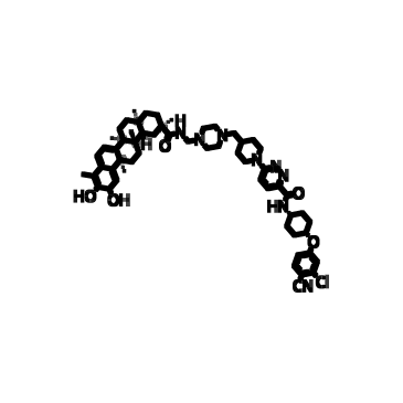 CC1=C(O)C(O)C=C2C1=CC=C1[C@@]2(C)CC[C@@]2(C)[C@@H]3C[C@](C)(C(=O)NCN4CCN(CC5CCN(c6ccc(C(=O)N[C@H]7CC[C@H](Oc8ccc(C#N)c(Cl)c8)CC7)nn6)CC5)CC4)CC[C@]3(C)CC[C@]12C